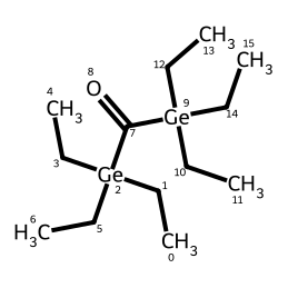 C[CH2][Ge]([CH2]C)([CH2]C)[C](=O)[Ge]([CH2]C)([CH2]C)[CH2]C